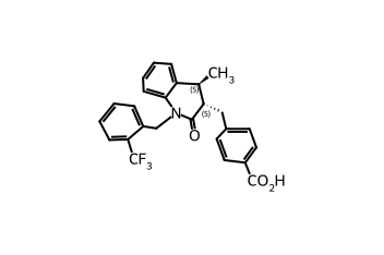 C[C@@H]1c2ccccc2N(Cc2ccccc2C(F)(F)F)C(=O)[C@H]1Cc1ccc(C(=O)O)cc1